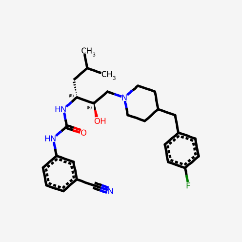 CC(C)C[C@@H](NC(=O)Nc1cccc(C#N)c1)[C@H](O)CN1CCC(Cc2ccc(F)cc2)CC1